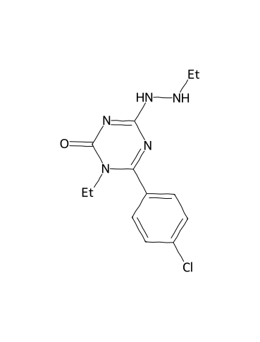 CCNNc1nc(-c2ccc(Cl)cc2)n(CC)c(=O)n1